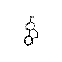 NC1=NN=C2c3ccccc3CCC2S1